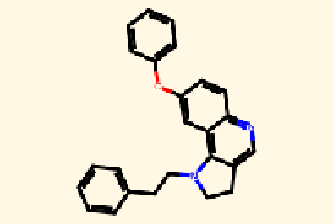 c1ccc(CCN2CCc3cnc4ccc(Oc5ccccc5)cc4c32)cc1